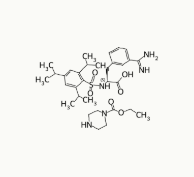 CC(C)c1cc(C(C)C)c(S(=O)(=O)N[C@@H](Cc2cccc(C(=N)N)c2)C(=O)O)c(C(C)C)c1.CCOC(=O)N1CCNCC1